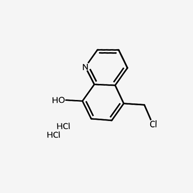 Cl.Cl.Oc1ccc(CCl)c2cccnc12